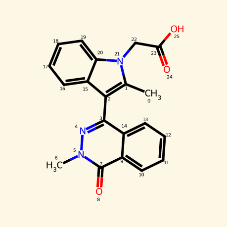 Cc1c(-c2nn(C)c(=O)c3ccccc23)c2ccccc2n1CC(=O)O